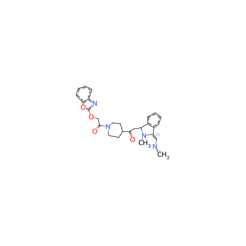 C=N/C=C1/c2ccccc2C(CC(=O)C2CCN(C(=O)COc3nc4ccccc4o3)CC2)N1C